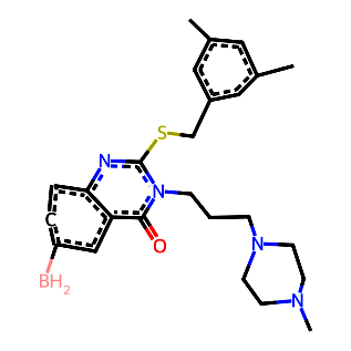 Bc1ccc2nc(SCc3cc(C)cc(C)c3)n(CCCN3CCN(C)CC3)c(=O)c2c1